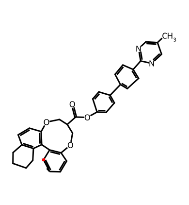 Cc1cnc(-c2ccc(-c3ccc(OC(=O)C4COc5ccc6c(c5-c5c(ccc7c5CCCC7)OC4)CCCC6)cc3)cc2)nc1